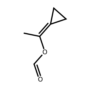 CC(OC=O)=C1CC1